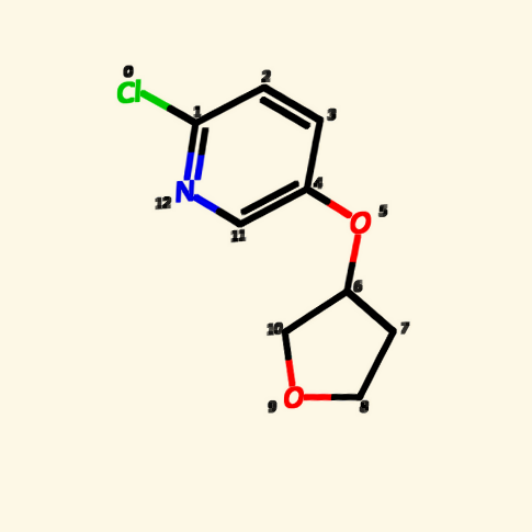 Clc1ccc(OC2CCOC2)cn1